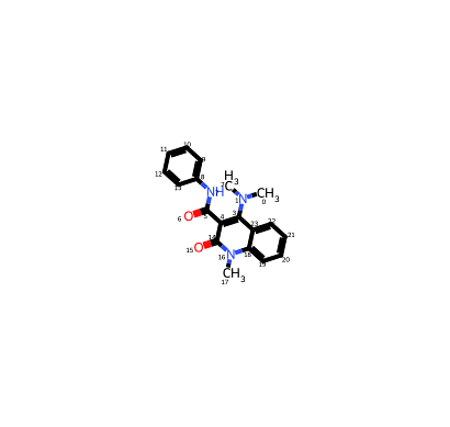 CN(C)c1c(C(=O)Nc2ccccc2)c(=O)n(C)c2ccccc12